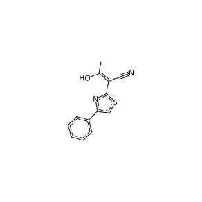 CC(O)=C(C#N)c1nc(-c2ccccc2)cs1